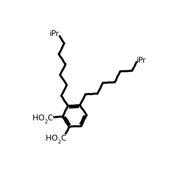 CC(C)CCCCCCc1ccc(C(=O)O)c(C(=O)O)c1CCCCCCC(C)C